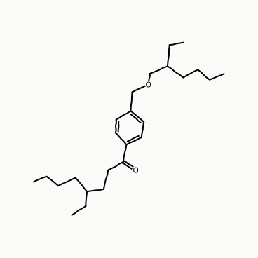 CCCCC(CC)CCC(=O)c1ccc(COCC(CC)CCCC)cc1